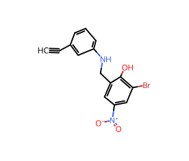 C#Cc1cccc(NCc2cc([N+](=O)[O-])cc(Br)c2O)c1